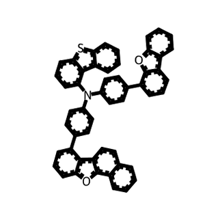 c1ccc2c(c1)ccc1c2oc2cccc(-c3ccc(N(c4ccc(-c5cccc6c5oc5ccccc56)cc4)c4cccc5sc6ccccc6c45)cc3)c21